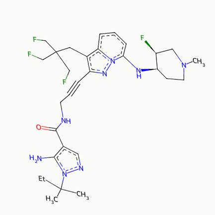 CCC(C)(C)n1ncc(C(=O)NCC#Cc2nn3c(N[C@@H]4CCN(C)C[C@@H]4F)cccc3c2CC(CF)(CF)CF)c1N